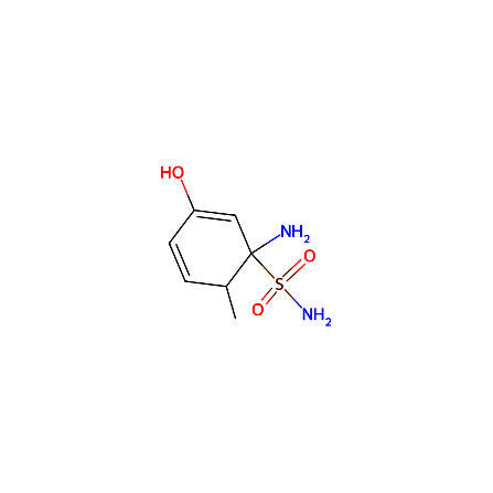 CC1C=CC(O)=CC1(N)S(N)(=O)=O